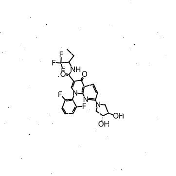 CCC(NC(=O)c1cn(-c2c(F)cccc2F)c2nc(N3C[C@@H](O)[C@H](O)C3)ccc2c1=O)C(F)(F)F